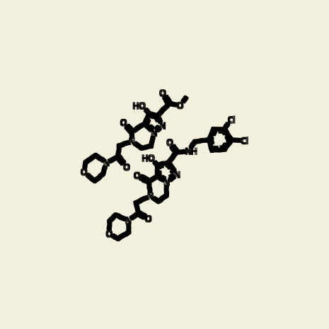 COC(=O)c1nn2c(c1O)C(=O)N(CC(=O)N1CCOCC1)CC2.O=C(NCc1ccc(Cl)c(Cl)c1)c1nn2c(c1O)C(=O)N(CC(=O)N1CCOCC1)CC2